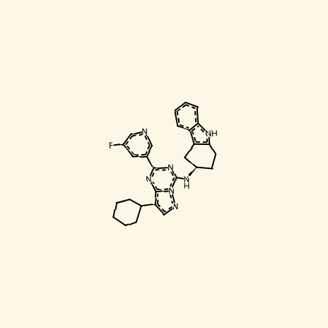 Fc1cncc(-c2nc(N[C@@H]3CCc4[nH]c5ccccc5c4C3)n3ncc(C4CCCCC4)c3n2)c1